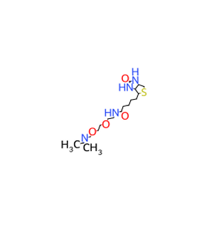 CC(C)=NCOCCOCCNC(=O)CCCCC1SCC2NC(=O)NC21